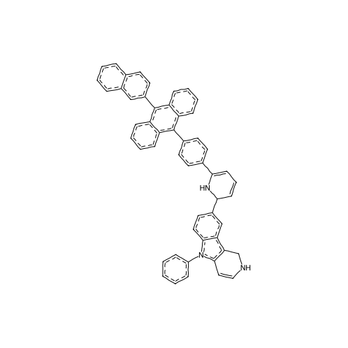 C1=CC(c2ccc3c(c2)c2c(n3-c3ccccc3)C=CNC2)NC(c2ccc(-c3c4ccccc4c(-c4ccc5ccccc5c4)c4ccccc34)cc2)=C1